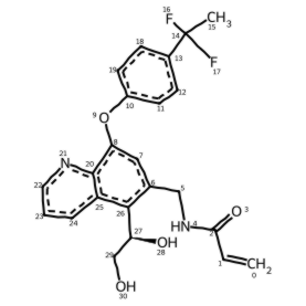 C=CC(=O)NCc1cc(Oc2ccc(C(C)(F)F)cc2)c2ncccc2c1[C@@H](O)CO